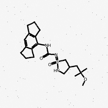 COC(C)(C)CC1CNS(=O)(=NC(=O)Nc2c3c(cc4c2CCC4)CCC3)C1